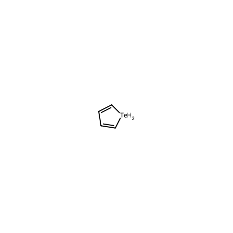 C1=C[TeH2]C=C1